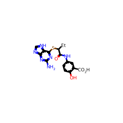 CCC(Sc1nc(N)nc2nc[nH]c12)C(=O)Nc1ccc(O)c(C(=O)O)c1